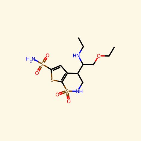 CCNC(COCC)C1CNS(=O)(=O)c2sc(S(N)(=O)=O)cc21